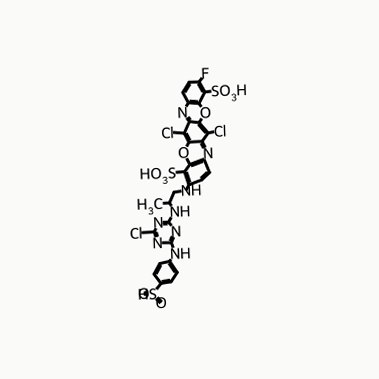 CC(CNc1ccc2c(c1S(=O)(=O)O)Oc1c(Cl)c3c(c(Cl)c1=N2)Oc1c(ccc(F)c1S(=O)(=O)O)N=3)Nc1nc(Cl)nc(Nc2ccc([SH](=O)=O)cc2)n1